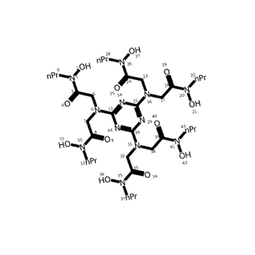 CCCN(O)C(=O)CN(CC(=O)N(O)CCC)c1nc(N(CC(=O)N(O)CCC)CC(=O)N(O)CCC)nc(N(CC(=O)N(O)CCC)CC(=O)N(O)CCC)n1